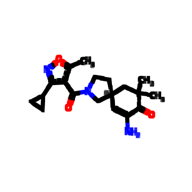 Cc1onc(C2CC2)c1C(=O)N1CC[C@@]2(C=C(N)C(=O)C(C)(C)C2)C1